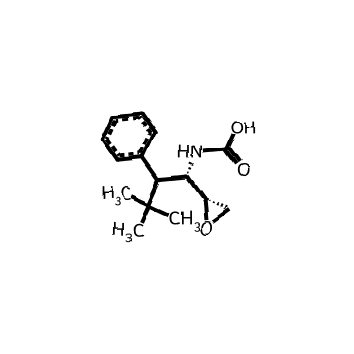 CC(C)(C)C(c1ccccc1)[C@H](NC(=O)O)[C@@H]1CO1